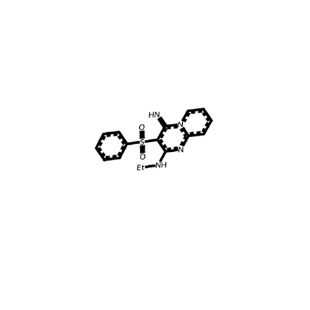 CCNc1nc2ccccn2c(=N)c1S(=O)(=O)c1ccccc1